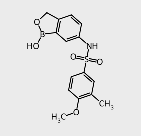 COc1ccc(S(=O)(=O)Nc2ccc3c(c2)B(O)OC3)cc1C